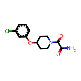 NC(=O)C(=O)N1CCC(Oc2cccc(Cl)c2)CC1